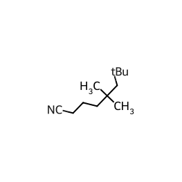 CC(C)(C)CC(C)(C)CCCC#N